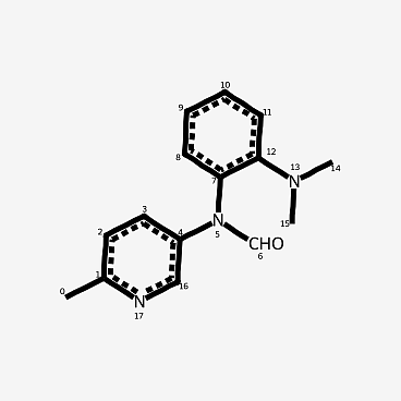 Cc1ccc(N(C=O)c2ccccc2N(C)C)cn1